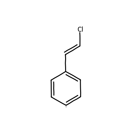 Cl/C=C/c1cc[c]cc1